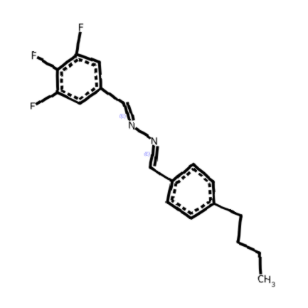 CCCCc1ccc(/C=N/N=C/c2cc(F)c(F)c(F)c2)cc1